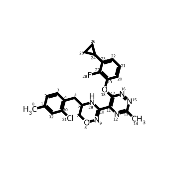 Cc1ccc(CC2CON=C(c3nc(C)nnc3Oc3cccc(C4CC4)c3F)N2)c(Cl)c1